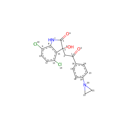 O=C(CC1(O)C(=O)Nc2c(Cl)ccc(Cl)c21)c1ccc(N2CC2)cc1